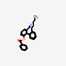 CCCCCc1ccccc1-c1c(C#N)cccc1OC(=O)c1ccccc1